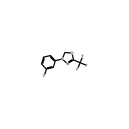 Fc1cccc(N2COC(C(F)(F)F)=N2)c1